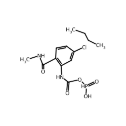 CCCC.CNC(=O)c1ccc(Cl)cc1NC(=O)O[PH](=O)O